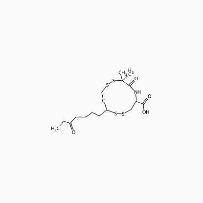 CCC(=O)CCCCC1CCSSC(C)(C)C(=O)NC(C(=O)O)CSS1